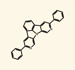 c1ccc(-c2cc3c4cccc5c6cc(-c7ccccc7)ncc6n(c3cn2)c45)cc1